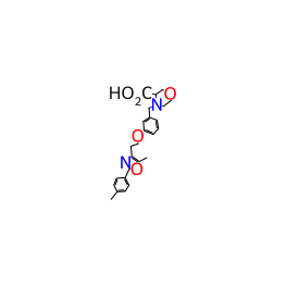 Cc1ccc(-c2nc(CCOc3cccc(CN4CCOCC4C(=O)O)c3)c(C)o2)cc1